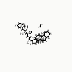 CC[N+]1(CCNC(=O)CC[C@@H](C)[C@H]2CC[C@H]3[C@@H]4CCC5CCCC[C@]5(C)[C@H]4CC[C@]23C)CCCC1.[I-]